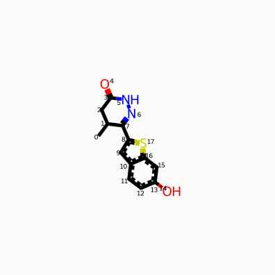 CC1CC(=O)NN=C1c1cc2ccc(O)cc2s1